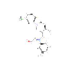 CCC(=Cc1sc2ccc(Cl)cc2[n+]1C)C=C1Sc2ccc(Cl)cc2N1CC=O